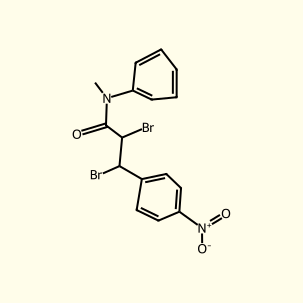 CN(C(=O)C(Br)C(Br)c1ccc([N+](=O)[O-])cc1)c1ccccc1